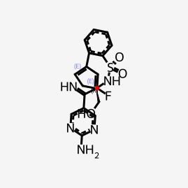 N=C(/C(F)=C\C1=C/C[C@H](CO)NS(=O)(=O)c2ccccc21)c1cnc(N)nc1